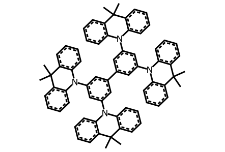 CC1(C)c2ccccc2N(c2cc(-c3cc(N4c5ccccc5C(C)(C)c5ccccc54)cc(N4c5ccccc5C(C)(C)c5ccccc54)c3)cc(N3c4ccccc4C(C)(C)c4ccccc43)c2)c2ccccc21